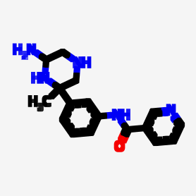 CC1(c2cccc(NC(=O)c3cccnc3)c2)CNCC(N)N1